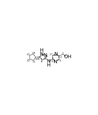 OCc1cnc(Nc2cc([C@H]3C[CH]CC3)[nH]n2)cn1